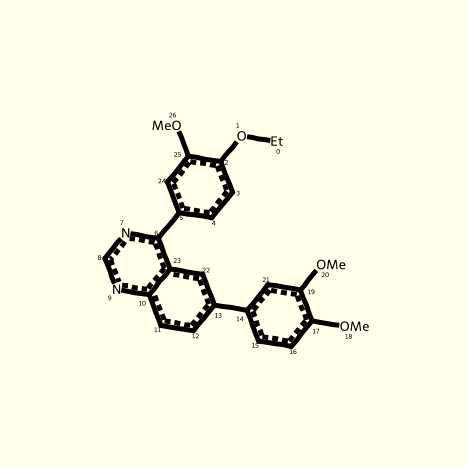 CCOc1ccc(-c2ncnc3ccc(-c4ccc(OC)c(OC)c4)cc23)cc1OC